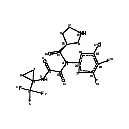 O=C(NC1(C(F)(F)F)CC1)C(=O)N(C(=O)[C@H]1CCNC1)c1cc(F)c(F)c(Cl)c1